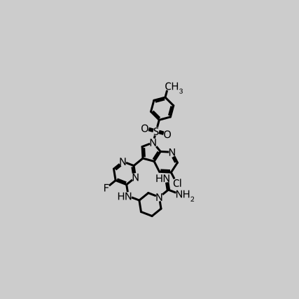 Cc1ccc(S(=O)(=O)n2cc(-c3ncc(F)c(NC4CCCN(C(=N)N)C4)n3)c3cc(Cl)cnc32)cc1